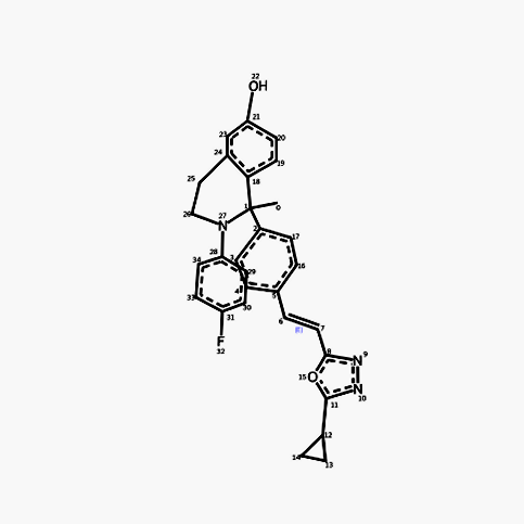 CC1(c2ccc(/C=C/c3nnc(C4CC4)o3)cc2)c2ccc(O)cc2CCN1c1ccc(F)cc1